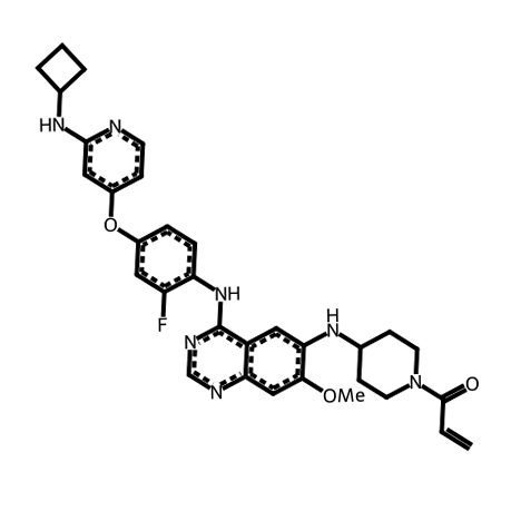 C=CC(=O)N1CCC(Nc2cc3c(Nc4ccc(Oc5ccnc(NC6CCC6)c5)cc4F)ncnc3cc2OC)CC1